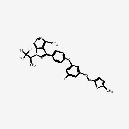 [2H]C([2H])([2H])C(C)n1nc(-c2ccc(Oc3cc(F)cc(OCc4ccc(C)s4)c3)cc2)c2c(N)ncnc21